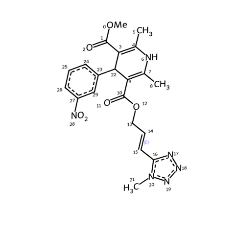 COC(=O)C1=C(C)NC(C)=C(C(=O)OC/C=C/c2nnnn2C)C1c1cccc([N+](=O)[O-])c1